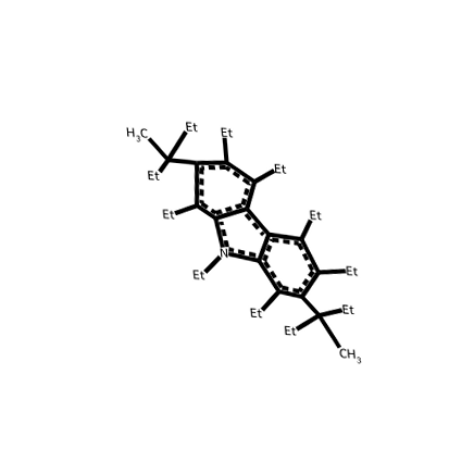 CCc1c(C(C)(CC)CC)c(CC)c2c(c1CC)c1c(CC)c(CC)c(C(C)(CC)CC)c(CC)c1n2CC